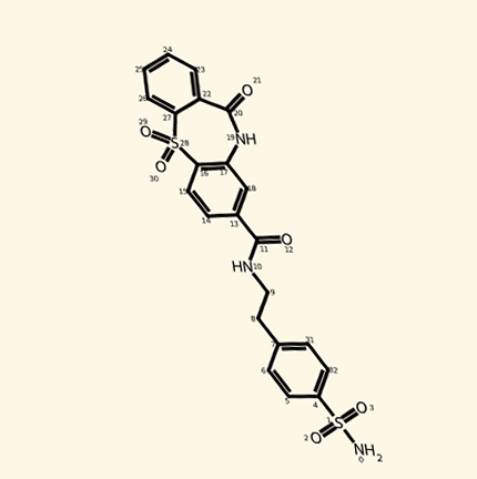 NS(=O)(=O)c1ccc(CCNC(=O)c2ccc3c(c2)NC(=O)c2ccccc2S3(=O)=O)cc1